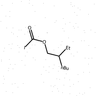 CCCCC(CC)COC(=O)I